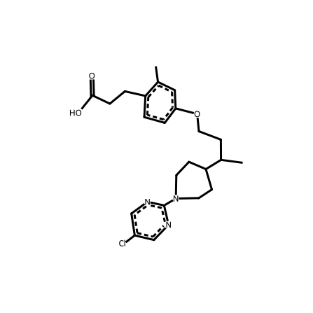 Cc1cc(OCCC(C)C2CCN(c3ncc(Cl)cn3)CC2)ccc1CCC(=O)O